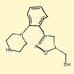 O[CH]C1CC(c2ccccc2N2CCNCC2)=NO1